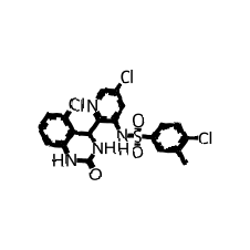 Cc1cc(S(=O)(=O)Nc2cc(Cl)cnc2C2NC(=O)Nc3cccc(Cl)c32)ccc1Cl